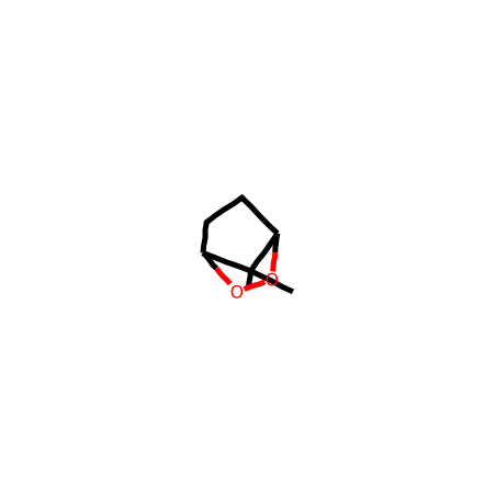 CC1(C)C2CCC1OO2